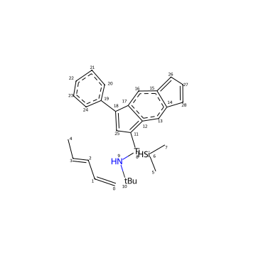 C=CC=CC.C[SiH](C)[Ti]([NH]C(C)(C)C)[C]1=c2cc3c(cc2C(c2ccccc2)=C1)=CC=C3